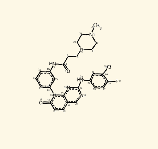 CN1CCN(CCC(=O)Nc2cccc(-n3c(=O)ccc4cnc(Nc5ccc(F)c(Cl)c5)nc43)c2)CC1